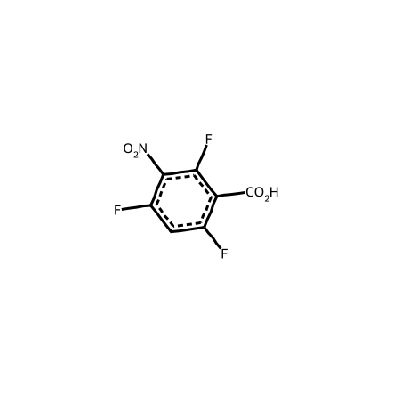 O=C(O)c1c(F)cc(F)c([N+](=O)[O-])c1F